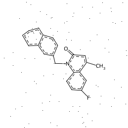 Cc1cc(=O)n(Cc2ccc3ccccc3c2)c2ccc(F)cc12